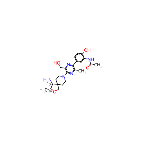 CC(=O)Nc1cc(-c2nc(CO)c(N3CCC4(CC3)CO[C@@H](C)[C@H]4N)nc2C)ccc1O